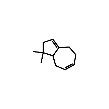 CC1(C)CC=C2CCC=CCC21